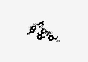 COC1C[C@H]2CC(N[C@@H](COc3cc(-c4c(C)cccc4C)nc(NS(=O)(=O)c4cccc(C(=O)O)c4)n3)CC(C)C)C[C@H]2C1